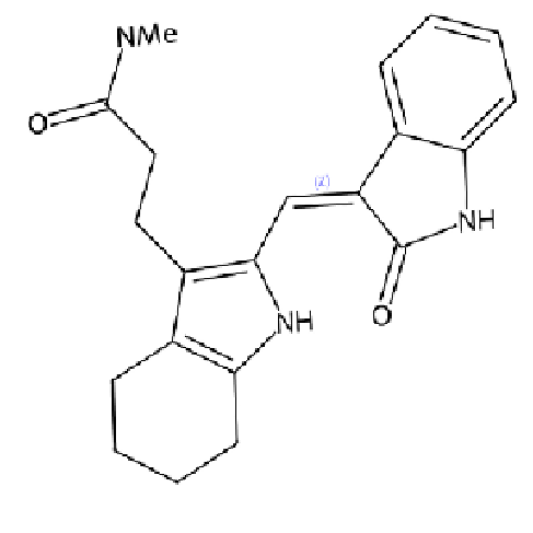 CNC(=O)CCc1c(/C=C2\C(=O)Nc3ccccc32)[nH]c2c1CCCC2